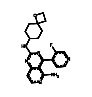 Nc1nccc2nc(NC3CCC4(CCO4)CC3)nc(-c3ccncc3F)c12